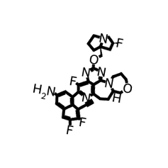 C#Cc1c(F)c(F)cc2cc(N)cc(-c3nc4c5c(nc(OC[C@@]67CCCN6C[C@H](F)C7)nc5c3F)N3CCCOC[C@@H]3CC4)c12